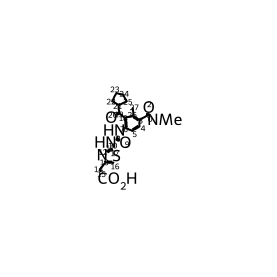 CNC(=O)c1ccc(NC(=O)Nc2nc(CC(=O)O)cs2)c(C(=O)C2CCCC2)c1C